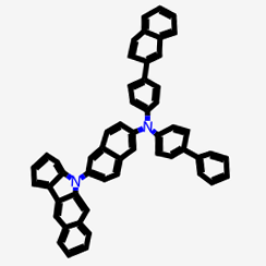 c1ccc(-c2ccc(N(c3ccc(-c4ccc5ccccc5c4)cc3)c3ccc4cc(-n5c6ccccc6c6cc7ccccc7cc65)ccc4c3)cc2)cc1